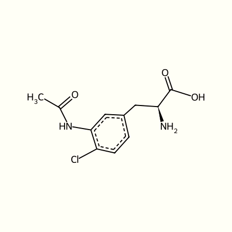 CC(=O)Nc1cc(C[C@H](N)C(=O)O)ccc1Cl